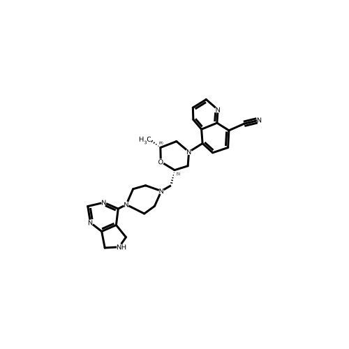 C[C@@H]1CN(c2ccc(C#N)c3ncccc23)C[C@H](CN2CCN(c3ncnc4c3CNC4)CC2)O1